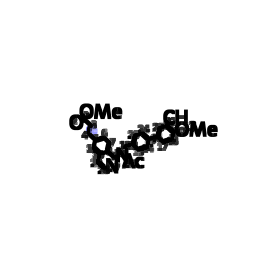 COC(=O)/C=C/c1ccc2c(N(Cc3ccc(-c4ccc(OC)c(C)c4)cc3)C(C)=O)nccc2c1